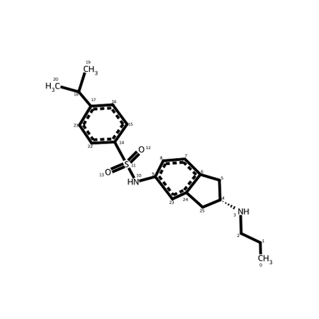 CCCN[C@H]1Cc2ccc(NS(=O)(=O)c3ccc(C(C)C)cc3)cc2C1